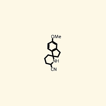 COc1ccc2c(c1)CCC21CCCC(C#N)N1